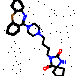 O=C1NC2(CCCC2)C(=O)N1CCCCN1CCN(C2=Nc3ccccc3Sc3ccccc32)CC1